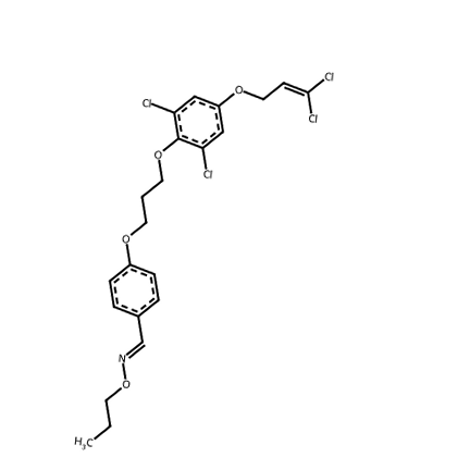 CCCON=Cc1ccc(OCCCOc2c(Cl)cc(OCC=C(Cl)Cl)cc2Cl)cc1